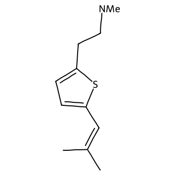 CNCCc1ccc(C=C(C)C)s1